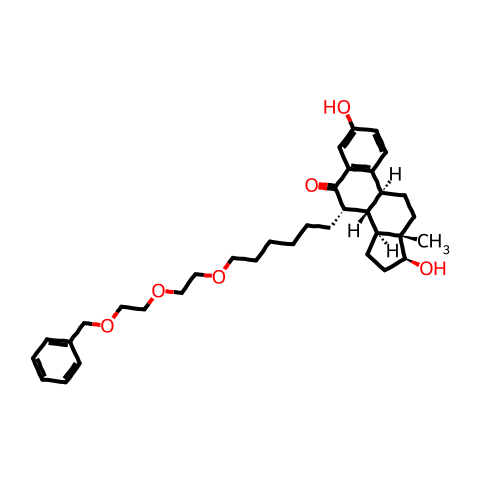 C[C@]12CC[C@@H]3c4ccc(O)cc4C(=O)[C@@H](CCCCCCOCCOCCOCc4ccccc4)[C@H]3[C@@H]1CC[C@@H]2O